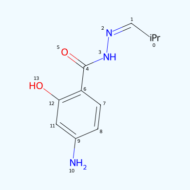 CC(C)/C=N\NC(=O)c1ccc(N)cc1O